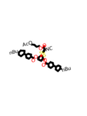 [C-]#[N+]C(C(=O)OCCCCOC(C)=O)=C1SC2C(OC(=O)C3CCC(C4CCC(CCCC)CC4)CC3)=CC=C(OC(=O)C3CCC(C4CCC(CCCC)CC4)CC3)C2S1